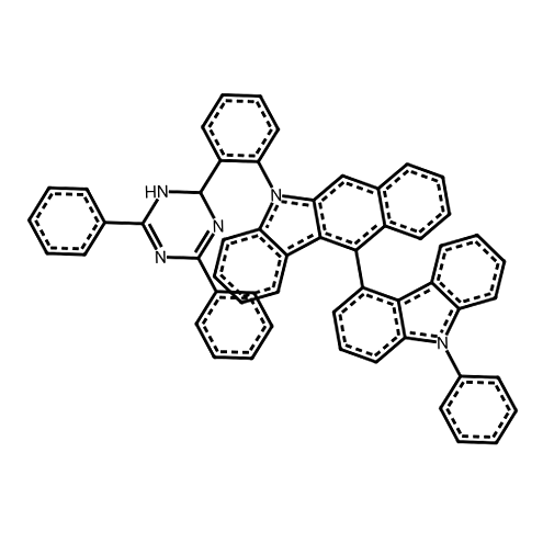 c1ccc(C2=NC(c3ccccc3-n3c4ccccc4c4c(-c5cccc6c5c5ccccc5n6-c5ccccc5)c5ccccc5cc43)NC(c3ccccc3)=N2)cc1